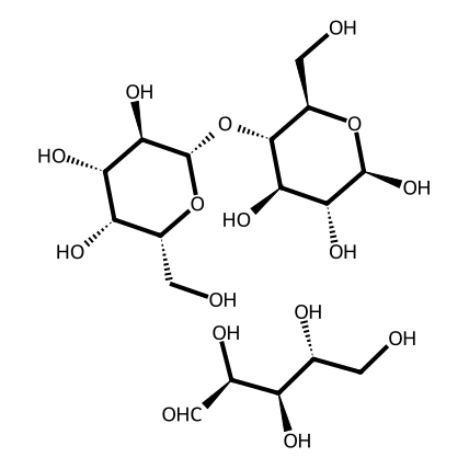 O=C[C@@H](O)[C@H](O)[C@H](O)CO.OC[C@H]1O[C@@H](O[C@H]2[C@H](O)[C@@H](O)[C@H](O)O[C@@H]2CO)[C@H](O)[C@@H](O)[C@H]1O